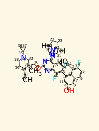 C#Cc1c(F)ccc2cc(O)cc(-c3c(F)cc4c(N5C[C@H]6CC[C@@H](C5)N6)nc(OC[C@]5(C)CN(C6CC6)CC[C@H]5C#C)nc4c3F)c12